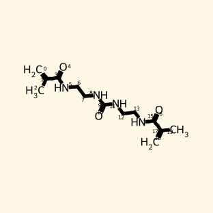 C=C(C)C(=O)NCCNC(=O)NCCNC(=O)C(=C)C